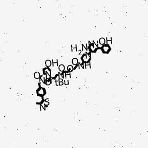 Cc1ncsc1-c1ccc(CNC(=O)[C@@H]2C[C@@H](O)CN2C(=O)[C@@H](CNC(=O)COCC(=O)NC2CCN(c3cc(-c4ccccc4O)nnc3N)CC2)C(C)(C)C)cc1